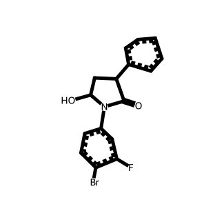 O=C1C(c2ccccc2)CC(O)N1c1ccc(Br)c(F)c1